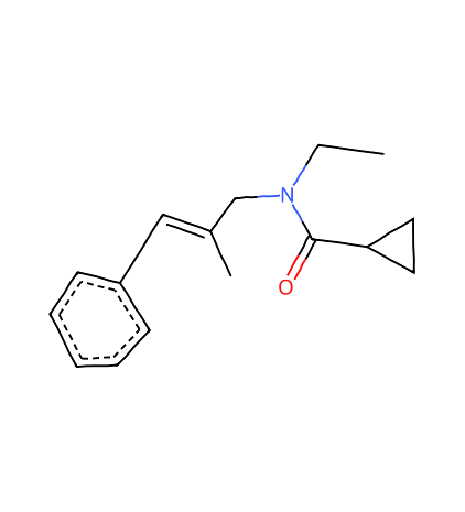 CCN(C/C(C)=C/c1ccccc1)C(=O)C1CC1